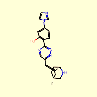 Oc1cc(-n2ccnc2)ccc1-c1ncc(/C=C2\CC3CC[C@H](CN3)C2)nn1